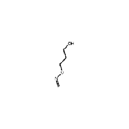 C=NOCCCO